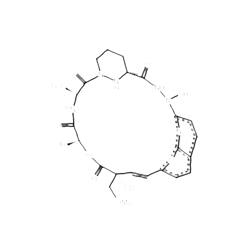 COC[C@]1(C)/C=C/c2ccc3ccc(nc3c2)N(C)NC(=O)[C@@H]2CCCN(N2)C(=O)[C@H](C)NC(=O)[C@H](C(C)C)OC1=O